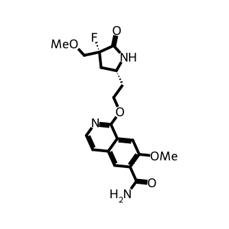 COC[C@]1(F)C[C@@H](CCOc2nccc3cc(C(N)=O)c(OC)cc23)NC1=O